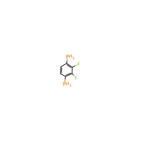 Fc1c(P)ccc(P)c1F